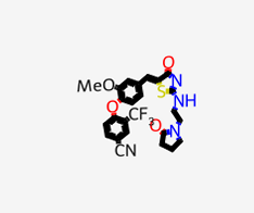 COc1cc(/C=C2\SC(NCCN3CCCC3=O)=NC2=O)ccc1Oc1ccc(C#N)cc1C(F)(F)F